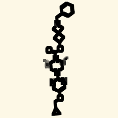 C[C@@H]1CN(c2ncc(OCC3CC3)cn2)C[C@H](C)N1C(=O)OC1CC2(C1)CN(Cc1ccccc1)C2